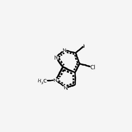 Cn1ncc2c(Cl)c(I)nnc21